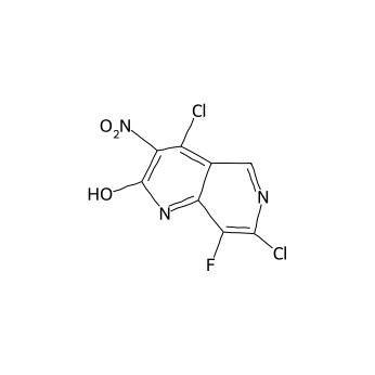 O=[N+]([O-])c1c(O)nc2c(F)c(Cl)ncc2c1Cl